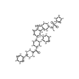 CN(c1ccc2[nH]c3ncc(-c4ccc(C(=O)N5CCN(c6cnccn6)CC5)cc4)c(-c4ccncc4)c3c2c1)S(=O)(=O)c1cccs1